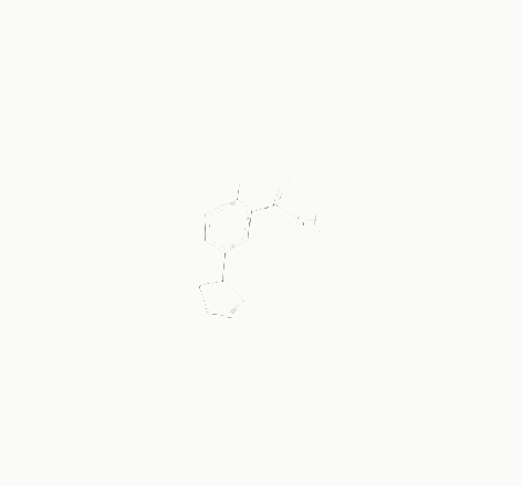 NC(=O)c1cc(C2C=CCC2)ccc1Cl